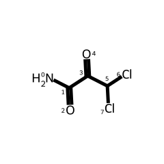 NC(=O)C(=O)C(Cl)Cl